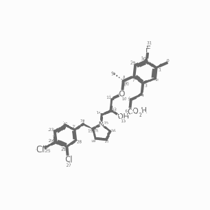 Cc1cc(CCC(=O)O)c([C@@H](C)OCC(O)CN2CCC[C@H]2Cc2ccc(Cl)c(Cl)c2)cc1F